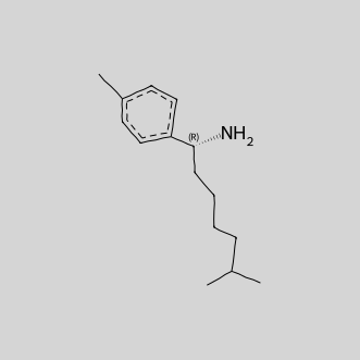 Cc1ccc([C@H](N)CCCCC(C)C)cc1